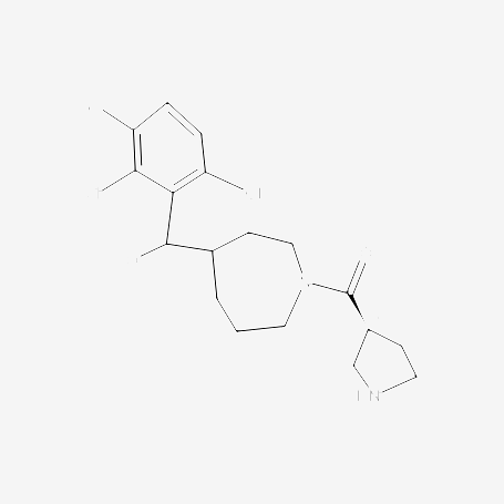 O=C([C@H]1CCNC1)N1CCCC(C(O)c2c(O)ccc(Cl)c2Cl)CC1